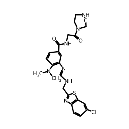 CN(C)c1ccc(C(=O)NCC(=O)N2CCNCC2)cc1/N=C/NCc1nc2ccc(Cl)cc2s1